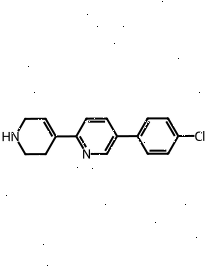 Clc1ccc(-c2ccc(C3=CCNCC3)nc2)cc1